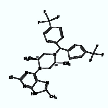 Cc1nc2c(N3C[C@@H](C)N(C(c4ccc(C(F)(F)F)cc4)c4ccc(C(F)(F)F)cc4)C[C@@H]3C)nc(Cl)nc2[nH]1